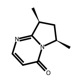 C[C@@H]1C[C@H](C)c2nccc(=O)n21